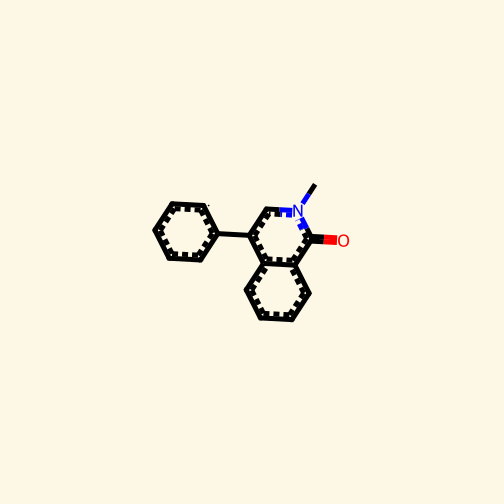 Cn1cc(-c2[c]cccc2)c2ccccc2c1=O